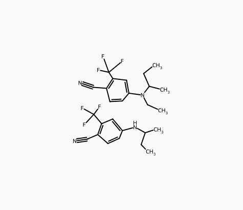 CCC(C)N(CC)c1ccc(C#N)c(C(F)(F)F)c1.CCC(C)Nc1ccc(C#N)c(C(F)(F)F)c1